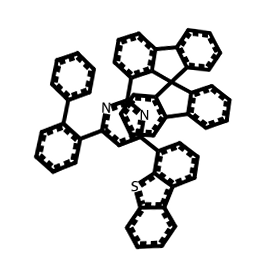 c1ccc(-c2ccccc2-c2cc(-c3cccc4c3sc3ccccc34)nc(-c3cccc4c3C3(c5ccccc5-c5ccccc53)c3ccccc3-4)n2)cc1